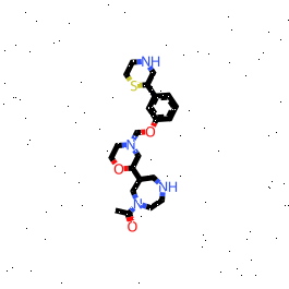 CC(=O)N1CCNCC(C2CN(COc3cccc(C4CNCCS4)c3)CCO2)C1